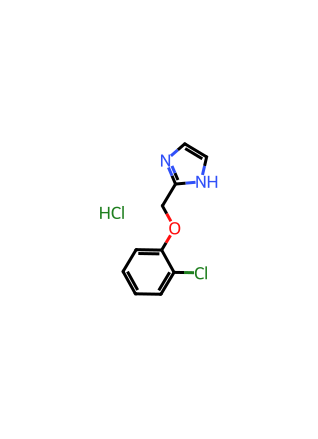 Cl.Clc1ccccc1OCc1ncc[nH]1